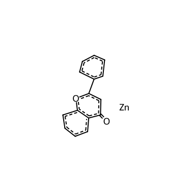 O=c1cc(-c2ccccc2)oc2ccccc12.[Zn]